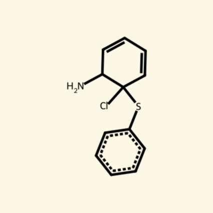 NC1C=CC=CC1(Cl)Sc1ccccc1